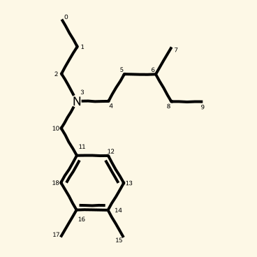 CCCN(CCC(C)CC)Cc1ccc(C)c(C)c1